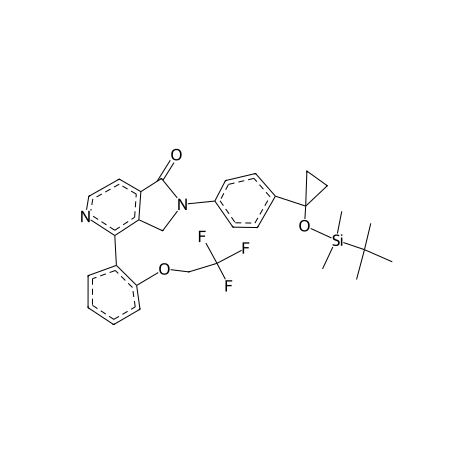 CC(C)(C)[Si](C)(C)OC1(c2ccc(N3Cc4c(ccnc4-c4ccccc4OCC(F)(F)F)C3=O)cc2)CC1